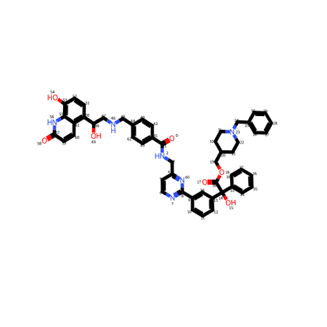 O=C(NCc1ccnc(-c2cccc(C(O)(C(=O)OCC3CCN(Cc4ccccc4)CC3)c3ccccc3)c2)n1)c1ccc(CNCC(O)c2ccc(O)c3[nH]c(=O)ccc23)cc1